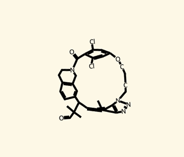 Cc1c2ccc3c1nnn3CCCCOc1cc(Cl)c(c(Cl)c1)C(=O)N1CCc3ccc(cc3C1)C2C(C)(C)C=O